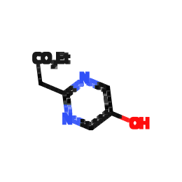 CCOC(=O)Cc1ncc(O)cn1